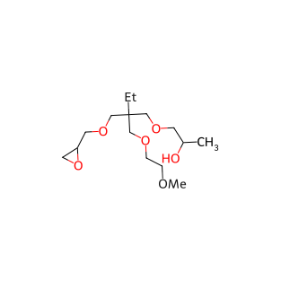 CCC(COCCOC)(COCC(C)O)COCC1CO1